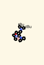 CC(C)(C)c1ccc2c(c1)c1cc(C(C)(C)C)ccc1n2-c1ccc2c(c1)c1ccccc1c1c3c4c(cc21)-n1c2ccccc2c2cccc(c21)B4c1cccc2c4ccccc4n-3c12